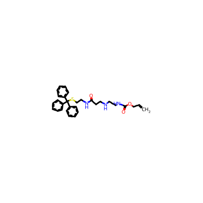 C=CCOC(=O)NCCNCCC(=O)NCCSC(c1ccccc1)(c1ccccc1)c1ccccc1